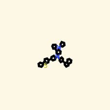 c1ccc(-n2c3ccccc3c3cc(N(c4ccc(-c5ccc6c(c5)sc5ccccc56)cc4)c4ccc(-c5cccc6ccccc56)cc4)ccc32)cc1